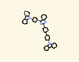 C1=Cc2c(c3ccccc3n2-c2ccc(-c3nc(-c4ccc(-c5ccc(-n6c7ccccc7c7ccccc76)cc5)cc4)nc4ccccc34)cc2)CC1